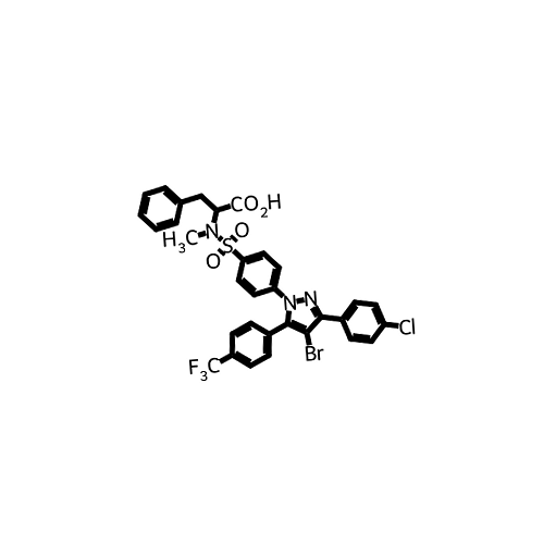 CN(C(Cc1ccccc1)C(=O)O)S(=O)(=O)c1ccc(-n2nc(-c3ccc(Cl)cc3)c(Br)c2-c2ccc(C(F)(F)F)cc2)cc1